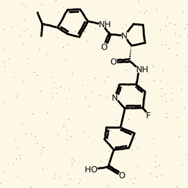 CC(C)c1ccc(NC(=O)N2CCC[C@@H]2C(=O)Nc2cnc(-c3ccc(C(=O)O)cc3)c(F)c2)cc1